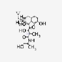 C/C(C(=O)N[C@@H](C)CO)=C(/O)[C@@H]1Oc2c(O)ccc3c2[C@@]12CCN(CC1CC1)[C@H](C3)[C@@]2(C)O